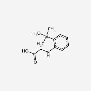 C[Si](C)(C)c1ccccc1NCC(=O)O